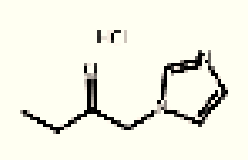 CCC(=O)Cn1ccnc1.Cl